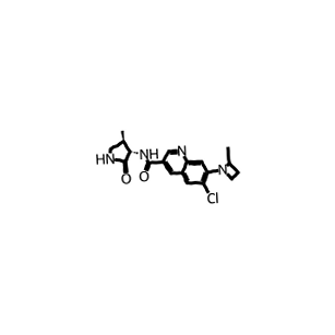 CC1CCN1c1cc2ncc(C(=O)N[C@@H]3C(=O)NC[C@H]3C)cc2cc1Cl